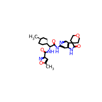 Cc1cc(C(=O)N[C@H](C(=O)Nc2cc3c(cn2)C2(CCOCC2)C(=O)N3)[C@H]2CC[C@H](C)CC2)no1